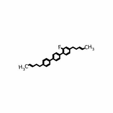 C/C=C/CCC1=C=C=C(c2ccc(-c3ccc(CC/C=C/C)cc3F)cc2)C=C1